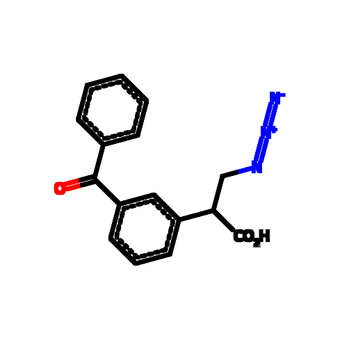 [N-]=[N+]=NCC(C(=O)O)c1cccc(C(=O)c2ccccc2)c1